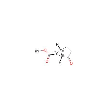 CC(C)OC(=O)[C@H]1[C@@H]2CCC(=O)[C@@H]21